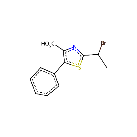 CC(Br)c1nc(C(=O)O)c(-c2ccccc2)s1